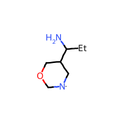 CCC(N)C1C[N]COC1